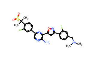 CN(C)Cc1ccc(-c2cc(-c3nc(-c4ccc(C(C)(C)[SH](=O)=O)c(F)c4)cnc3N)on2)c(F)c1